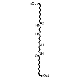 CCCCCCCC/C=C\CCCCCCCC(=O)NCCCNCCCCNCCCNC(=O)CCCCCCC/C=C\CCCCCCCC